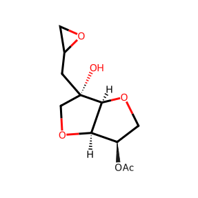 CC(=O)O[C@@H]1CO[C@H]2[C@@H]1OC[C@@]2(O)CC1CO1